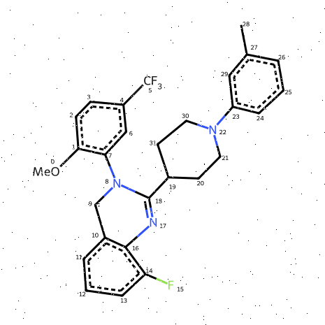 COc1ccc(C(F)(F)F)cc1N1[C]c2cccc(F)c2N=C1C1CCN(c2cccc(C)c2)CC1